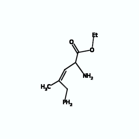 CCOC(=O)C(N)C=C(C)CP